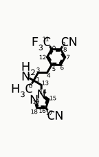 CC(N)(CCc1ccc(C#N)c(C(F)(F)F)c1)Cn1cc(C#N)cn1